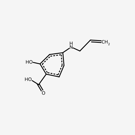 C=CCNc1ccc(C(=O)O)c(O)c1